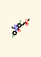 CCOC(=O)/C=C/c1cc2c(=O)n(-c3ccc(F)cc3)c(CC)nc2cc1F